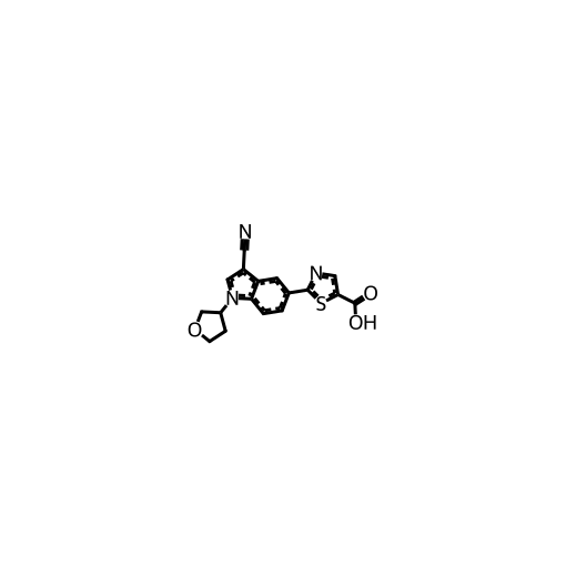 N#Cc1cn(C2CCOC2)c2ccc(-c3ncc(C(=O)O)s3)cc12